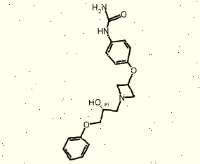 NC(=O)Nc1ccc(OC2CN(C[C@@H](O)COc3ccccc3)C2)cc1